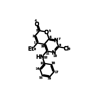 CCc1cc(=O)oc2nc(Cl)nc(Nc3ccccc3)c12